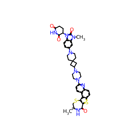 C[C@@H]1CSc2c(sc3ccc4nc(N5CCN(C6CC7(CCN(c8ccc9c(c8)n(C)c(=O)n9C8CCC(=O)NC8=O)CC7)C6)CC5)ccc4c23)C(=O)N1